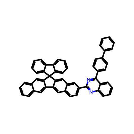 c1ccc(-c2ccc(-c3nc(-c4ccc5cc6c(cc5c4)C4(c5ccccc5-c5ccccc54)c4cc5ccccc5cc4-6)nc4ccccc34)cc2)cc1